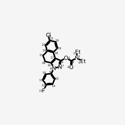 CCN(CC)C(=O)Oc1nn(-c2ccc(F)cc2)c2c1-c1ccc(Cl)cc1CC2